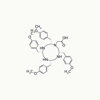 COc1ccc(C[C@H]2CN[C@@H](Cc3ccc(OC)cc3)CN(CC(=O)O)[C@@H](Cc3ccc(OC)cc3)CN[C@@H](Cc3ccc(OC)cc3)CN2)cc1